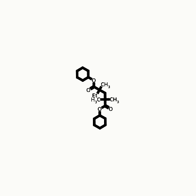 CCC(C)(CC(C)(C)C(=O)OC1CCCCC1)C(=O)OC1CCCCC1